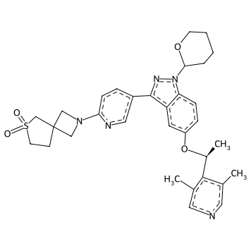 Cc1cncc(C)c1[C@H](C)Oc1ccc2c(c1)c(-c1ccc(N3CC4(CCS(=O)(=O)C4)C3)nc1)nn2C1CCCCO1